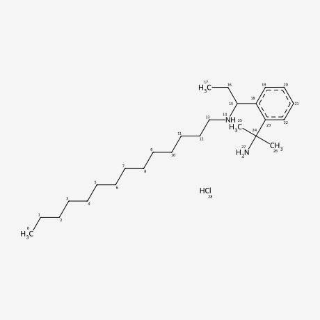 CCCCCCCCCCCCCCNC(CC)c1ccccc1C(C)(C)N.Cl